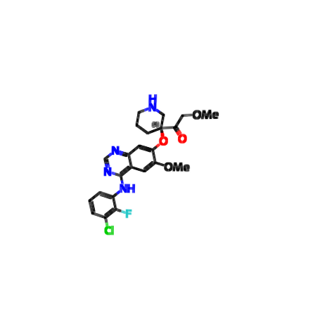 COCC(=O)[C@]1(Oc2cc3ncnc(Nc4cccc(Cl)c4F)c3cc2OC)CCCNC1